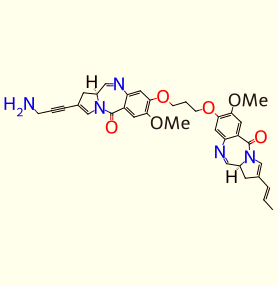 C/C=C/C1=CN2C(=O)c3cc(OC)c(OCCCOc4cc5c(cc4OC)C(=O)N4C=C(C#CCN)C[C@H]4C=N5)cc3N=C[C@@H]2C1